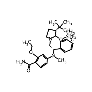 CCOc1cc(N(C)[C@H](CN2CC[C@@H](C(C)(C)C)C2O[SiH](C)C)c2ccccc2)ccc1C(N)=O